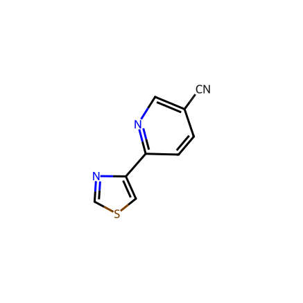 N#Cc1ccc(-c2cscn2)nc1